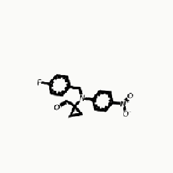 O=CC1(N(Cc2ccc(F)cc2)c2ccc([N+](=O)[O-])cc2)CC1